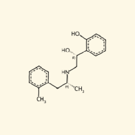 Cc1ccccc1C[C@@H](C)NC[C@H](O)c1ccccc1O